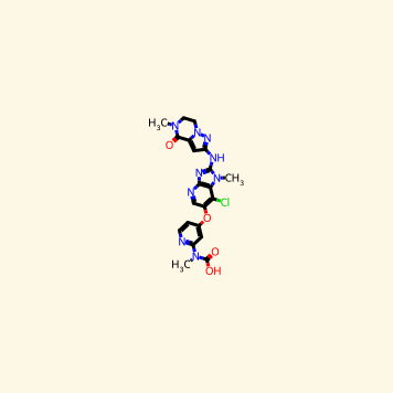 CN1CCn2nc(Nc3nc4ncc(Oc5ccnc(N(C)C(=O)O)c5)c(Cl)c4n3C)cc2C1=O